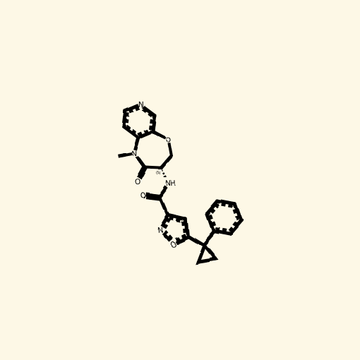 CN1C(=O)[C@@H](NC(=O)c2cc(C3(c4ccccc4)CC3)on2)COc2cnccc21